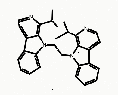 CC(C)c1nccc2c3ccccc3n(CCn3c4ccccc4c4ccnc(C(C)C)c43)c12